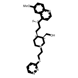 COc1ccc2nccc([C@@H](F)CC[C@@H]3CCN(CCSc4cccnn4)C[C@@H]3CO)c2c1